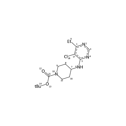 CCc1ncnc(NC2CCN(C(=O)OC(C)(C)C)CC2)c1Cl